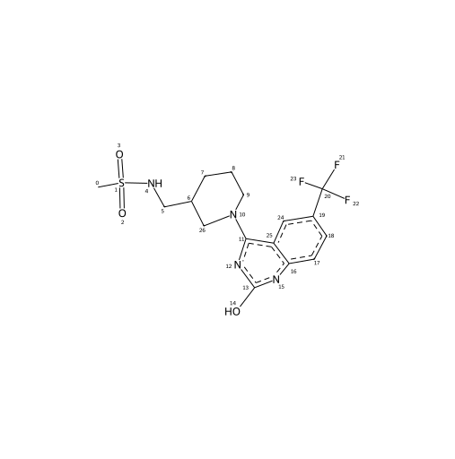 CS(=O)(=O)NCC1CCCN(c2nc(O)nc3ccc(C(F)(F)F)cc23)C1